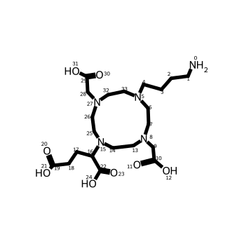 NCCCCN1CCN(CC(=O)O)CCN(C(CCC(=O)O)C(=O)O)CCN(CC(=O)O)CC1